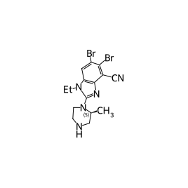 CCn1c(N2CCNC[C@@H]2C)nc2c(C#N)c(Br)c(Br)cc21